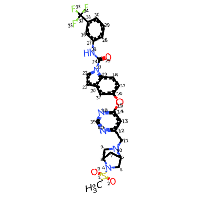 CS(=O)(=O)N1CC2CC1CN2Cc1cc(Oc2ccc3c(ccn3C(=O)Nc3cccc(C(F)(F)F)c3)c2)ncn1